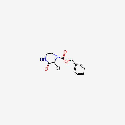 CCC1C(=O)NCCN1C(=O)OCc1ccccc1